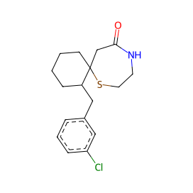 O=C1CC2(CCCCC2Cc2cccc(Cl)c2)SCCN1